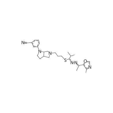 C/C(=N\N=C(\SCCCN1CC2CCN(c3cccc(C#N)c3)C2C1)C(C)C)c1ocnc1C